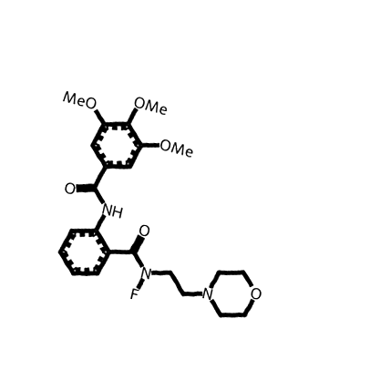 COc1cc(C(=O)Nc2ccccc2C(=O)N(F)CCN2CCOCC2)cc(OC)c1OC